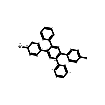 Cc1ccc(-c2cc(-c3ccccc3)c(C3=CCC(C#N)C=C3)cc2-c2ccccc2)cc1